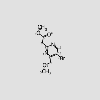 COCc1nc(CC(=O)OC)ncc1Br